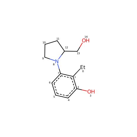 CCc1c(O)cccc1N1CCCC1CO